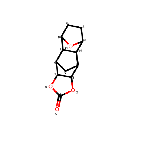 O=C1OC2C3CC(C2O1)C1C2CCC(O2)C31